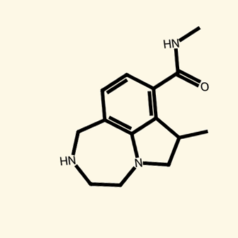 CNC(=O)c1ccc2c3c1C(C)CN3CCNC2